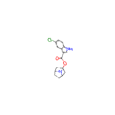 CN1C2CCC1CC(OC(=O)c1c[nH]c3ccc(Cl)cc13)C2